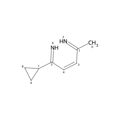 CC(=N)/C=C\C(=N)C1CC1